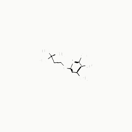 Cc1cc(OCCC(C)(C)O)nc(C)c1O